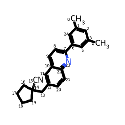 Cc1cc(C)cc(-c2ccc3cc(CC4(C#N)CCCC4)ccc3n2)c1